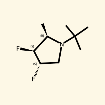 C[C@@H]1[C@H](F)[C@@H](F)CN1C(C)(C)C